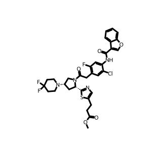 COC(=O)CCc1cnc([C@@H]2C[C@H](N3CCC(F)(F)CC3)CN2C(=O)Cc2cc(Cl)c(NC(=O)c3coc4ccccc34)cc2F)s1